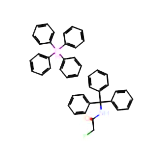 O=C(CF)NC(c1ccccc1)(c1ccccc1)c1ccccc1.c1ccc([PH](c2ccccc2)(c2ccccc2)c2ccccc2)cc1